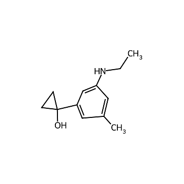 CCNc1cc(C)cc(C2(O)CC2)c1